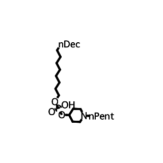 CCCCCCCCCCCCCCCCCCOP(=O)(O)OC1CCN(CCCCC)CC1